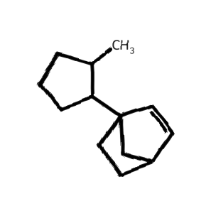 CC1CCCC1C12C=CC(CC1)C2